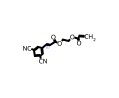 C=CC(=O)OCCOC(=O)/C=C/c1cc(C#N)cc(C#N)c1